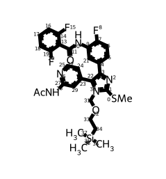 CSc1nc(-c2ccc(F)c(NC(=O)c3c(F)cccc3F)c2)c(-c2ccnc(NC(C)=O)c2)n1COCC[Si](C)(C)C